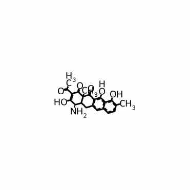 CC(=O)C1=C(O)[C@H](N)C2Cc3cc4ccc(C)c(O)c4c(O)c3C(=O)C2(C)C1=O